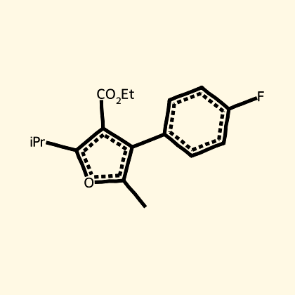 CCOC(=O)c1c(C(C)C)oc(C)c1-c1ccc(F)cc1